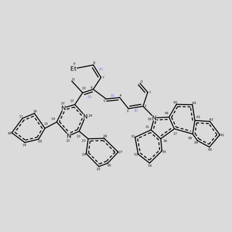 C=C\C(=C/C=C/C(/C=C\CC)=C(/C)c1nc(-c2ccccc2)nc(-c2ccccc2)n1)n1c2ccccc2c2c3ccccc3ccc21